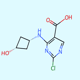 O=C(O)c1cnc(Cl)nc1N[C@H]1C[C@@H](O)C1